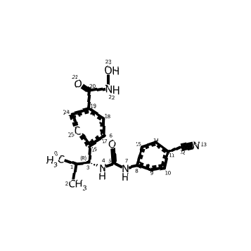 CC(C)[C@@H](NC(=O)Nc1ccc(C#N)cc1)c1ccc(C(=O)NO)cc1